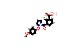 COc1ccc(O[C@@H]2CCCN2C(=O)c2cccc(C(=O)O)c2C)cc1